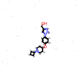 OCc1cn(-c2ccc(OC3CCN(C4CCC4)CC3)cc2)nn1